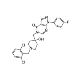 O=c1c2cnn(-c3ccc(F)cc3)c2ncn1CC1(O)CCN(Cc2c(Cl)cccc2Cl)CC1